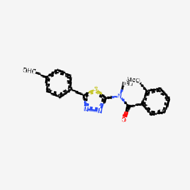 CCCCN(C(=O)c1ccccc1OC)c1nnc(-c2ccc(C=O)cc2)s1